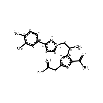 CCCC(=N)Cc1nc(C(N)=O)c(C(C)Cn2ccc(-c3ccc(C#N)c(Cl)c3)n2)s1